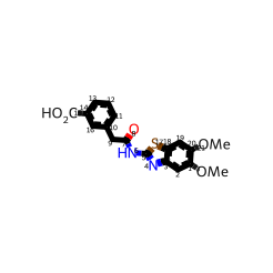 COc1cc2nc(NC(=O)Cc3cccc(C(=O)O)c3)sc2cc1OC